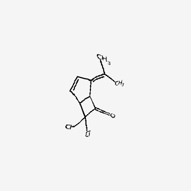 CC(C)=C1C=CC2C1C(=O)C2(Cl)Cl